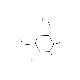 NO[C@H]1O[C@H](CO)[C@@H](O)[C@@H](O)[C@@H]1O